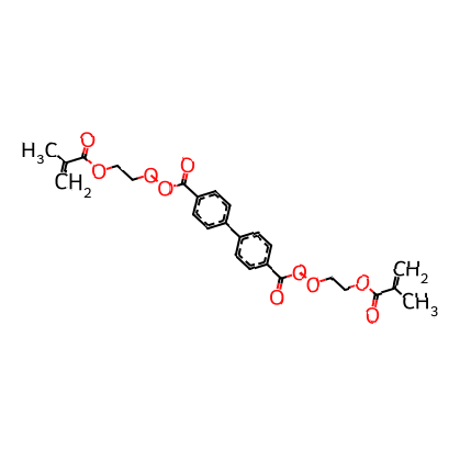 C=C(C)C(=O)OCCOOC(=O)c1ccc(-c2ccc(C(=O)OOCCOC(=O)C(=C)C)cc2)cc1